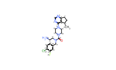 C[C@@H]1CCc2ncnc(N3CCN(C(=O)N(CCN)Cc4ccc(Cl)c(F)c4)CC3)c21